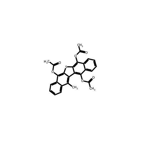 CC(=O)Oc1c2ccccc2c(C)c2c1sc1c(OC(C)=O)c3ccccc3c(OC(C)=O)c12